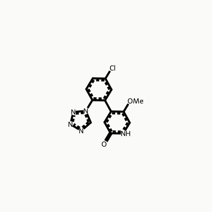 COc1c[nH]c(=O)cc1-c1cc(Cl)ccc1-n1cnnn1